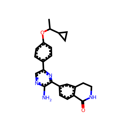 CC(Oc1ccc(-c2cnc(N)c(-c3ccc4c(c3)CCNC4=O)n2)cc1)C1CC1